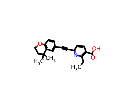 CCc1nc(C#Cc2ccc3c(c2)C(C)(C)CCO3)ccc1C(=O)O